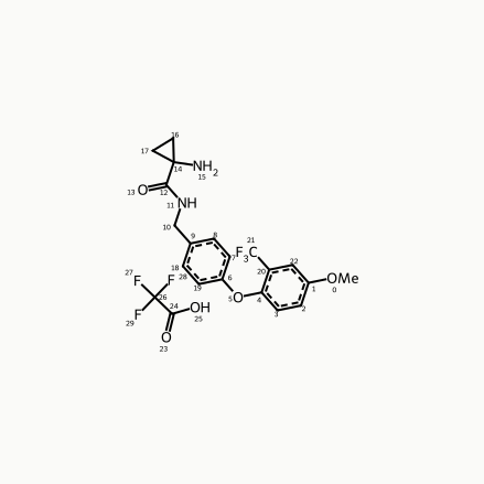 COc1ccc(Oc2ccc(CNC(=O)C3(N)CC3)cc2)c(C(F)(F)F)c1.O=C(O)C(F)(F)F